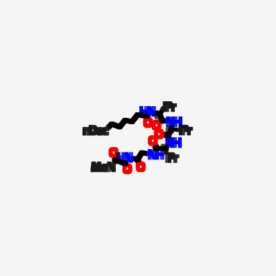 CCCCCCCCCCCCCCCC(=O)N[C@H](C(=O)N[C@H](C(=O)N[C@H](C(=O)NCC(=O)NC(=O)C(=O)NC)C(C)C)C(C)C)C(C)C